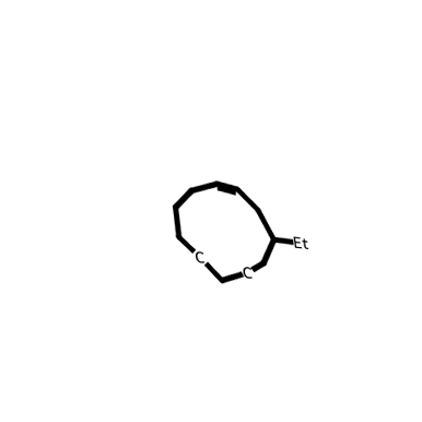 [CH2]CC1CC=CCCCCCCC1